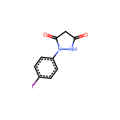 O=C1CC(=O)N(c2ccc(I)cc2)N1